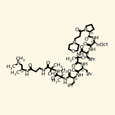 CCCCCCCC[C@H](NC(=O)[C@@H]1CCCN1C(=O)CCN1CCOCC1)C(=O)N[C@@H](CC(C)C)C(=O)NC(C)(C)C(=O)N[C@@H](CC(C)C)C(=O)N[C@@H](CC(C)C)C(=O)NC(C)(C)C(=O)NC(C)(C)C(=O)NCCC(=O)N[C@@H](C)CN(C)C